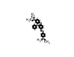 CCN(C)c1ccc(/N=N/c2ccc3nc4ccc(N(CC)CC)cc4[n+](-c4ccccc4)c3c2)cc1